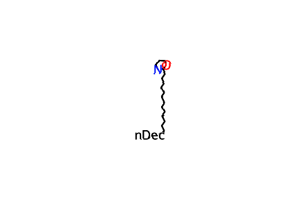 CCCCCCCCCCCCCCCCCCCCCCCC1=NCCCO1